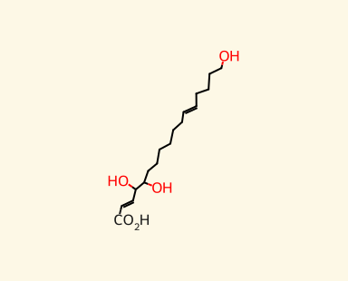 O=C(O)C=CC(O)C(O)CCCCCCC=CCCCCO